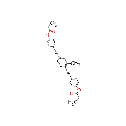 C=CC(=O)Oc1ccc(C#Cc2ccc(C#Cc3ccc(OC(=O)C=C)cc3)c(C)c2)cc1